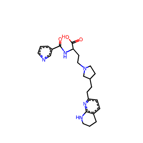 O=C(NC(CCN1CCC(CCc2ccc3c(n2)NCCC3)C1)C(=O)O)c1cccnc1